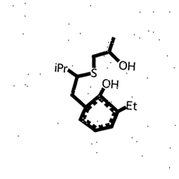 CCc1cccc(CC(SCC(C)O)C(C)C)c1O